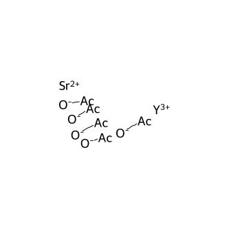 CC(=O)[O-].CC(=O)[O-].CC(=O)[O-].CC(=O)[O-].CC(=O)[O-].[Sr+2].[Y+3]